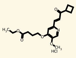 CCOC(=O)CCCOc1cc(C=CC(=O)C2CCC2)ncc1OC.Cl